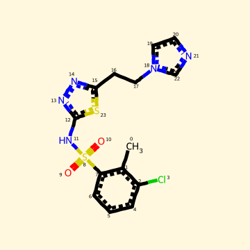 Cc1c(Cl)cccc1S(=O)(=O)Nc1nnc(CCn2ccnc2)s1